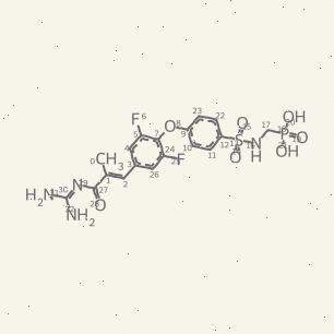 C/C(=C\c1cc(F)c(Oc2ccc(S(=O)(=O)NCP(=O)(O)O)cc2)c(F)c1)C(=O)N=C(N)N